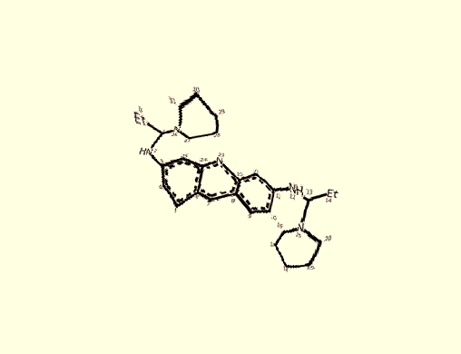 CCC(Nc1ccc2cc3ccc(NC(CC)N4CCCCC4)cc3nc2c1)N1CCCCC1